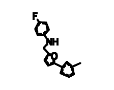 Cc1cccc(-c2ccc(CNc3ccc(F)cc3)o2)c1